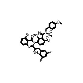 COc1ccc(CN(c2nn(C)c3c(-n4c(C(N)Cc5cc(F)cc(F)c5)nc5cccc(Br)c5c4=O)ccc(Cl)c23)S(C)(=O)=O)cc1